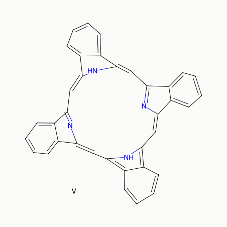 [V].c1ccc2c(c1)-c1cc3[nH]c(cc4nc(cc5[nH]c(cc-2n1)c1ccccc51)-c1ccccc1-4)c1ccccc31